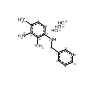 Cc1ccc(NCc2cccnc2)c(C)c1N.Cl.Cl.Cl